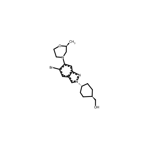 C[C@H]1CN(c2cc3nn([C@H]4CC[C@H](CO)CC4)cc3cc2Br)CCO1